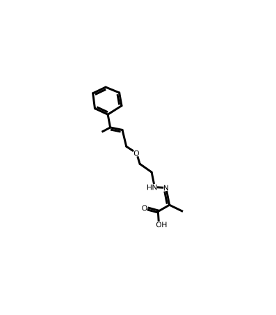 CC(=CCOCCNN=C(C)C(=O)O)c1ccccc1